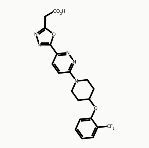 O=C(O)Cc1nnc(-c2ccc(N3CCC(Oc4ccccc4C(F)(F)F)CC3)nn2)o1